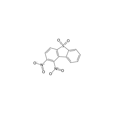 O=[N+]([O-])c1ccc2c(c1[N+](=O)[O-])-c1ccccc1S2(=O)=O